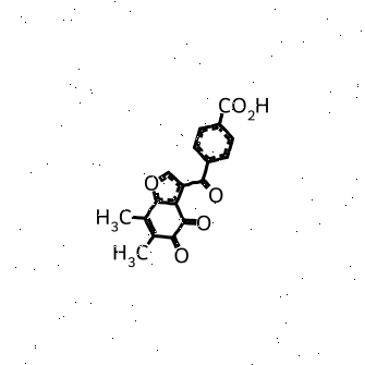 CC1=C(C)c2occ(C(=O)c3ccc(C(=O)O)cc3)c2C(=O)C1=O